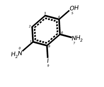 Nc1ccc(O)c(N)c1I